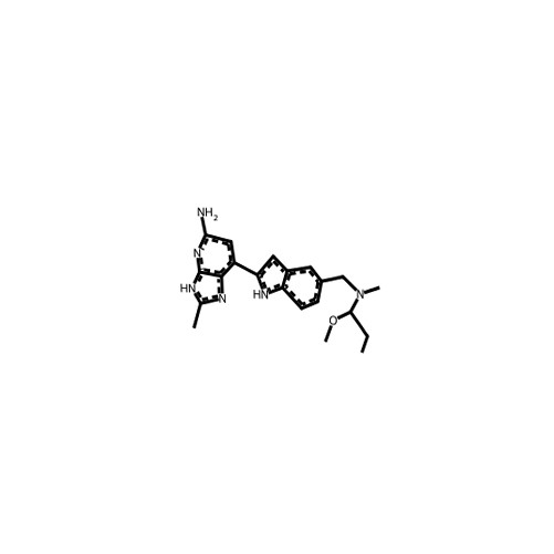 CCC(OC)N(C)Cc1ccc2[nH]c(-c3cc(N)nc4[nH]c(C)nc34)cc2c1